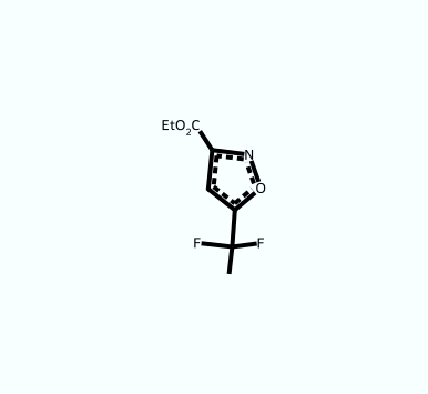 CCOC(=O)c1cc(C(C)(F)F)on1